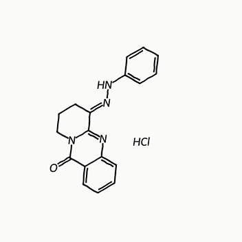 Cl.O=c1c2ccccc2nc2n1CCCC2=NNc1ccccc1